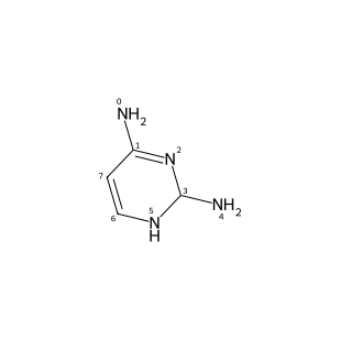 NC1=NC(N)NC=C1